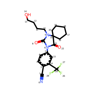 N#Cc1ccc(N2C(=O)N(CCCCO)C3(CCCCC3)C2=O)cc1C(F)(F)F